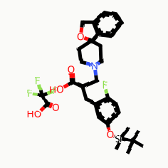 CC(C)(C)[Si](C)(C)Oc1ccc(F)c(CC(CN2CCC3(CC2)OCc2ccccc23)C(=O)O)c1.O=C(O)C(F)(F)F